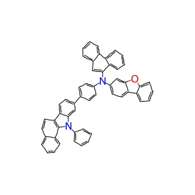 c1ccc(-n2c3cc(-c4ccc(N(c5ccc6c(c5)oc5ccccc56)c5cc6ccccc6c6ccccc56)cc4)ccc3c3ccc4ccccc4c32)cc1